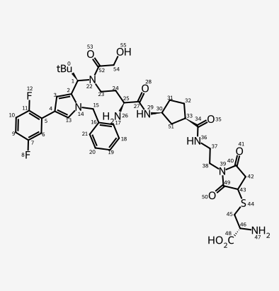 CC(C)(C)[C@H](c1cc(-c2cc(F)ccc2F)cn1Cc1ccccc1)N(CC[C@H](N)C(=O)N[C@H]1CC[C@@H](C(=O)NCCN2C(=O)CC(SC[C@H](N)C(=O)O)C2=O)C1)C(=O)CO